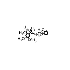 COc1cc2c(cc1OC)C(C)(CCCN1CCN(c3ccccc3C)CC1)OCC2(C)C